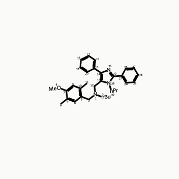 CCCCN(Cc1cc(C)c(OC)cc1C)Cc1c(-c2ccccc2)nc(-c2ccccc2)n1CCC